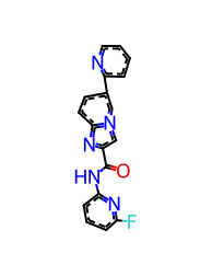 O=C(Nc1cccc(F)n1)c1cn2cc(-c3ccccn3)ccc2n1